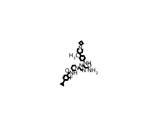 CC1(c2ccc(Nc3nc(N4CCC[C@@H](NC(=O)c5ccc(C6CC6)cc5F)C4)cnc3C(N)=O)cc2)CCN(C2CCC2)CC1